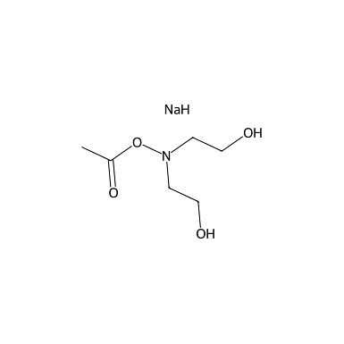 CC(=O)ON(CCO)CCO.[NaH]